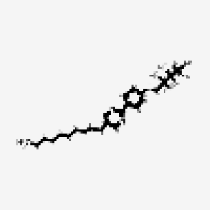 CCCCCCCCCCc1cnc(-c2ccc(OCC(F)(F)C(F)(F)C(F)(F)F)cc2)nc1